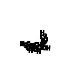 CC(=O)[C@H]1CC[C@H]2[C@@H]3CC[C@H]4C[C@H](O)[C@@H](N5CCO[C@@H](C)C5)C[C@]4(C)[C@H]3CC[C@]12C